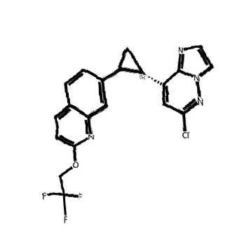 FC(F)(F)COc1ccc2ccc(C3C[C@@H]3c3cc(Cl)nn4ccnc34)cc2n1